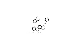 COc1cccc2c1c(OC)cc1c3c(ccc12)[C@H](CCc1c(F)cccc1C(F)(F)F)CCC3.c1ccc2cnccc2c1